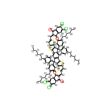 CCCCCCc1ccc(C2(c3ccc(CCCCCC)cc3)c3cc4c(cc3-c3sc5cc(C=C6C(=O)c7cc(Cl)c(Cl)cc7C6=O)sc5c32)C(c2ccc(CCCCCC)cc2)(c2ccc(CCCCCC)cc2)c2c-4sc3cc(C=C4C(=O)c5cc(Cl)c(Cl)cc5C4=O)sc23)cc1